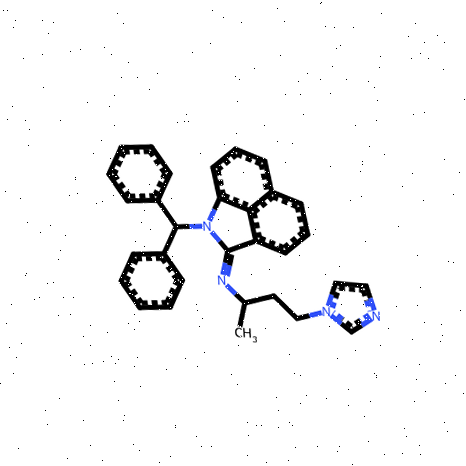 CC(CCn1ccnc1)/N=C1\c2cccc3cccc(c23)N1C(c1ccccc1)c1ccccc1